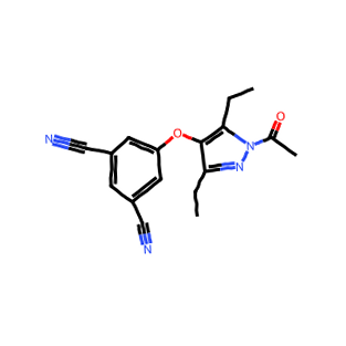 CCc1nn(C(C)=O)c(CC)c1Oc1cc(C#N)cc(C#N)c1